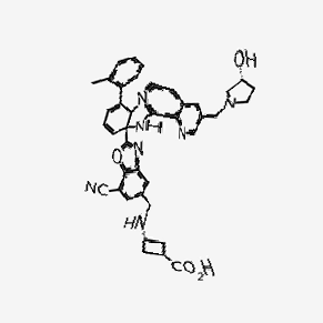 Cc1ccccc1C1=CC=CC(Nc2nccc3cc(CN4CC[C@@H](O)C4)cnc23)(c2nc3cc(CN[C@H]4C[C@H](C(=O)O)C4)cc(C#N)c3o2)C1C